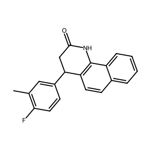 Cc1cc(C2CC(=O)Nc3c2ccc2ccccc32)ccc1F